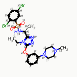 CCn1c(Oc2cccc(N3CCN(C)CC3)c2)nnc1[C@@H](C)NS(=O)(=O)c1cc(Br)ccc1Br